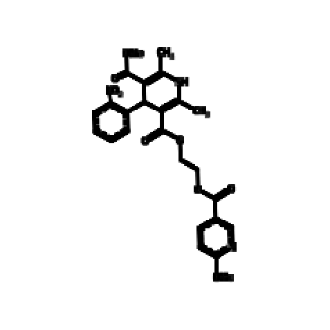 COC(=O)C1=C(C)NC(C)=C(C(=O)OCCOC(=O)c2ccc(OC)nc2)C1c1ccccc1[N+](=O)[O-]